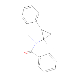 CN(C(=O)c1ccccc1)C1(C(=O)O)CC1c1ccccc1